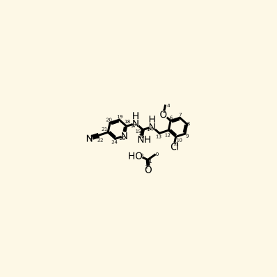 CC(=O)O.COc1cccc(Cl)c1CNC(=N)Nc1ccc(C#N)cn1